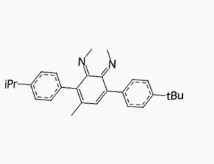 C/N=C1/C(c2ccc(C(C)(C)C)cc2)=CC(C)=C(c2ccc(C(C)C)cc2)/C1=N/C